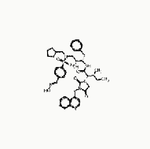 CC[C@H](C)[C@@H](C(=O)N[C@@H](Cc1ccccc1)[C@H](O)CN(CC1CCCC1)S(=O)(=O)c1ccc(C=NO)cc1)N1CC(=O)N(Cc2ccnc3ccccc23)C1=O